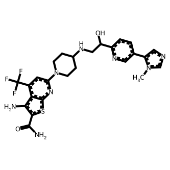 Cn1cncc1-c1ccc(C(O)CNC2CCN(c3cc(C(F)(F)F)c4c(N)c(C(N)=O)sc4n3)CC2)nc1